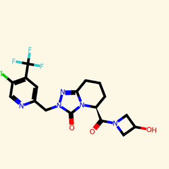 O=C([C@@H]1CCCc2nn(Cc3cc(C(F)(F)F)c(Cl)cn3)c(=O)n21)N1CC(O)C1